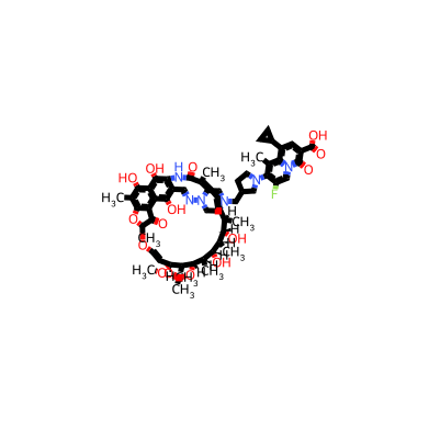 CO[C@H]1/C=C/O[C@@]2(C)Oc3c(C)c(O)c4c(O)c(c(/C=N/N5CCN(CC6CCN(c7c(F)cn8c(=O)c(C(=O)O)cc(C9CC9)c8c7C)C6)CC5)c(O)c4c3C2=O)NC(=O)/C(C)=C\C=C\[C@H](C)[C@H](O)[C@@H](C)[C@@H](O)[C@@H](C)[C@H](OC(C)=O)C1C